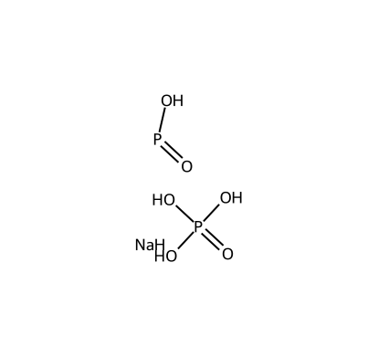 O=P(O)(O)O.O=PO.[NaH]